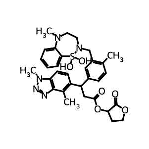 Cc1ccc(C(CC(=O)OC2CCOC2=O)c2ccc3c(nnn3C)c2C)cc1CN1CCN(C)c2ccccc2S1(O)O